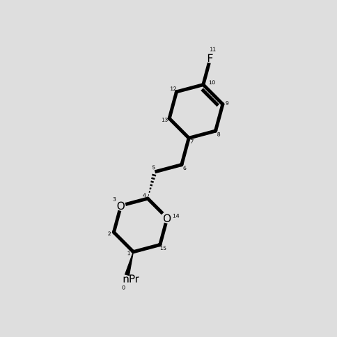 CCC[C@H]1CO[C@H](CCC2CC=C(F)CC2)OC1